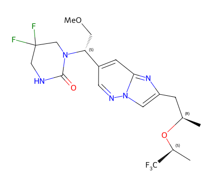 COC[C@H](c1cnn2cc(C[C@@H](C)O[C@@H](C)C(F)(F)F)nc2c1)N1CC(F)(F)CNC1=O